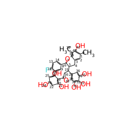 Cc1cc(CC(C(=O)c2ccc(F)cc2)C(CC(=O)c2c(O)cc(O)cc2O)c2cc(O)c(O)c(O)c2)cc(C)c1O